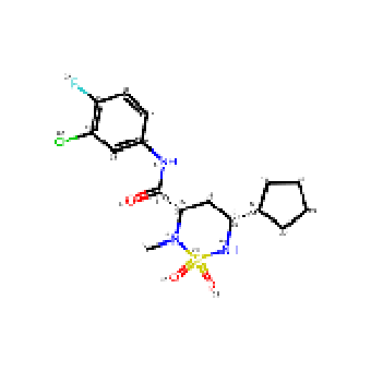 CN1[C@H](C(=O)Nc2ccc(F)c(Cl)c2)C[C@H](C2CCCC2)NS1(=O)=O